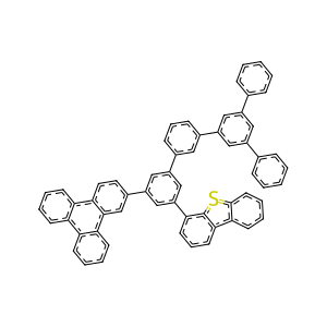 c1ccc(-c2cc(-c3ccccc3)cc(-c3cccc(-c4cc(-c5ccc6c7ccccc7c7ccccc7c6c5)cc(-c5cccc6c5sc5ccccc56)c4)c3)c2)cc1